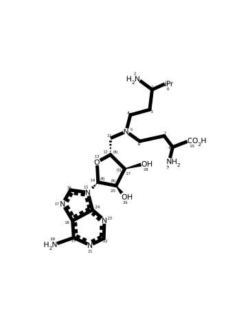 CC(C)C(N)CCN(CCC(N)C(=O)O)C[C@H]1O[C@@H](n2cnc3c(N)ncnc32)[C@H](O)[C@@H]1O